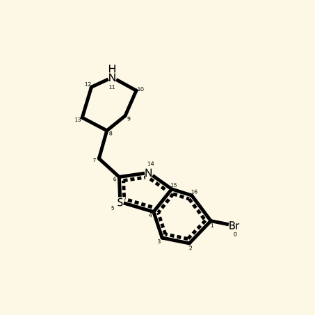 Brc1ccc2sc(CC3CCNCC3)nc2c1